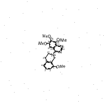 COc1cccc2c1CN(c1ncnc3c(OC)c(OC)c(OC)cc13)CC2